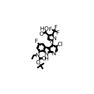 CCN(C(=O)OC(C)(C)C)c1cc(F)cc2c1[nH]c1ncc(Cl)c(-n3cc(C(=O)O)c(C(F)(F)F)n3)c12